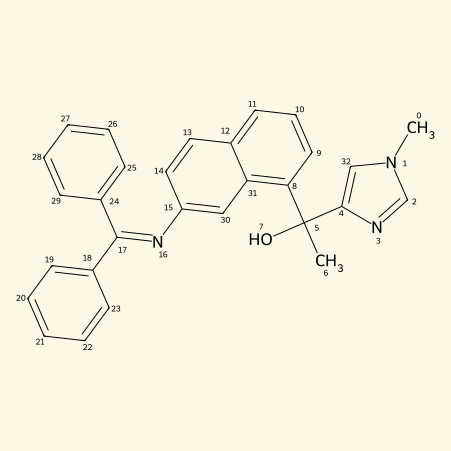 Cn1cnc(C(C)(O)c2cccc3ccc(N=C(c4ccccc4)c4ccccc4)cc23)c1